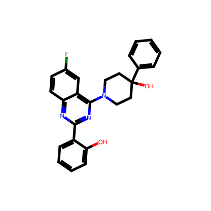 Oc1ccccc1-c1nc(N2CCC(O)(c3ccccc3)CC2)c2cc(F)ccc2n1